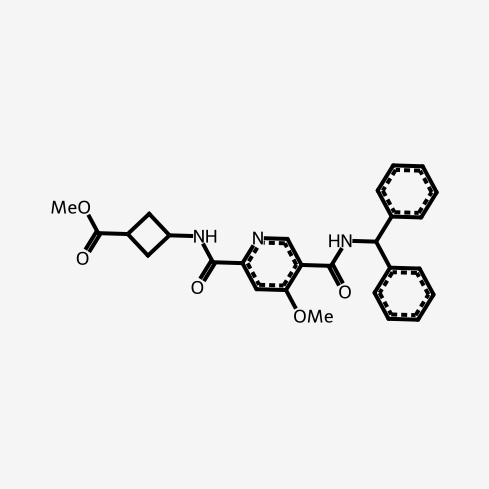 COC(=O)C1CC(NC(=O)c2cc(OC)c(C(=O)NC(c3ccccc3)c3ccccc3)cn2)C1